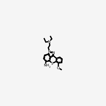 CCN(CC)CCn1nc2c3c(c(N)ccc31)Sc1c(OC)cccc1-2